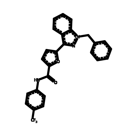 O=C(Nc1ccc(C(F)(F)F)cc1)c1ccc(-c2nn(Cc3ccccc3)c3ccccc23)o1